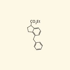 CCOC(=O)C1CCc2c(Cc3ccccc3)cccc21